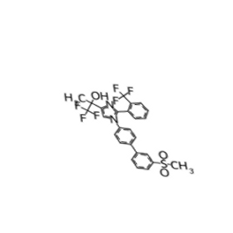 CC(O)(c1cn(-c2ccc(-c3cccc(S(C)(=O)=O)c3)cc2)c(-c2ccccc2C(F)(F)F)n1)C(F)(F)F